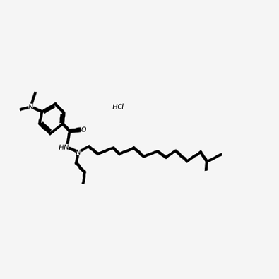 CCCN(CCCCCCCCCCCC(C)C)NC(=O)c1ccc(N(C)C)cc1.Cl